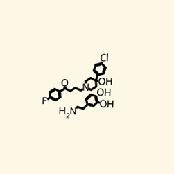 NCCc1ccc(O)c(O)c1.O=C(CCCN1CCC(O)(c2ccc(Cl)cc2)CC1)c1ccc(F)cc1